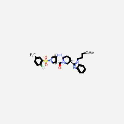 COCCCn1c([C@@H]2CCCN(C(=O)[C@@H]3CN(S(=O)(=O)c4cc(C(F)(F)F)ccc4Cl)C[C@H]3N)C2)nc2ccccc21